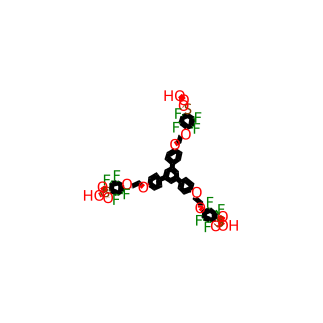 O=S(=O)(O)c1c(F)c(F)c(OCCOc2ccc(-c3cc(-c4ccc(OCCOc5c(F)c(F)c(SOOO)c(F)c5F)cc4)cc(-c4ccc(OCCOc5c(F)c(F)c(S(=O)(=O)O)c(F)c5F)cc4)c3)cc2)c(F)c1F